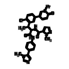 CC(c1cc(-c2ccc(=O)n(C(C)C)c2)ccc1Cl)C(NC(=O)c1ccnn1C)C(=O)Nc1ccc(-c2cncn2C)cc1